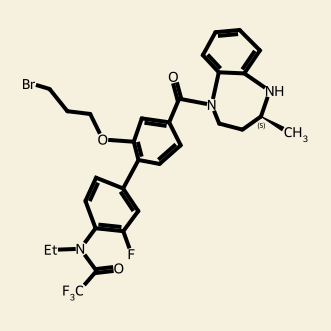 CCN(C(=O)C(F)(F)F)c1ccc(-c2ccc(C(=O)N3CC[C@H](C)Nc4ccccc43)cc2OCCCBr)cc1F